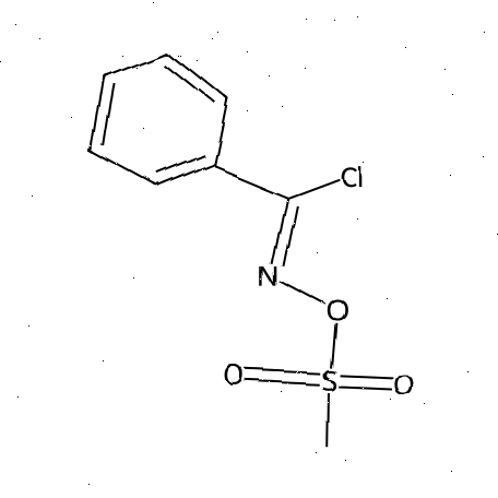 CS(=O)(=O)ON=C(Cl)c1ccccc1